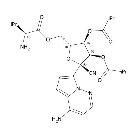 CC(C)C(=O)O[C@H]1[C@@H](OC(=O)C(C)C)[C@](C#N)(c2ccc3c(N)ccnn23)O[C@@H]1COC(=O)[C@@H](N)C(C)C